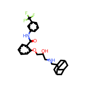 O=C(Nc1cccc(C(F)(F)F)c1)c1ccccc1OCC(O)CNCC12CC3CC(CC(C3)C1)C2